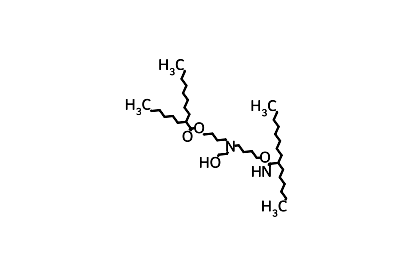 CCCCCCCCC(CCCCCC)C(=N)OCCCCN(CCO)CCCCOC(=O)C(CCCCCC)CCCCCCCC